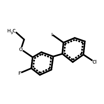 CCOc1cc(-c2cc(Cl)ccc2I)ccc1F